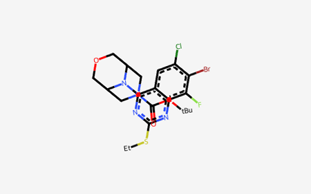 CCSc1nc(N2C3COCC2CN(C(=O)OC(C)(C)C)C3)c2cc(Cl)c(Br)c(F)c2n1